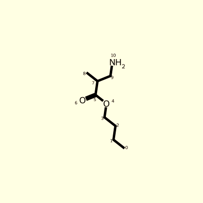 CCCCOC(=O)C(C)CN